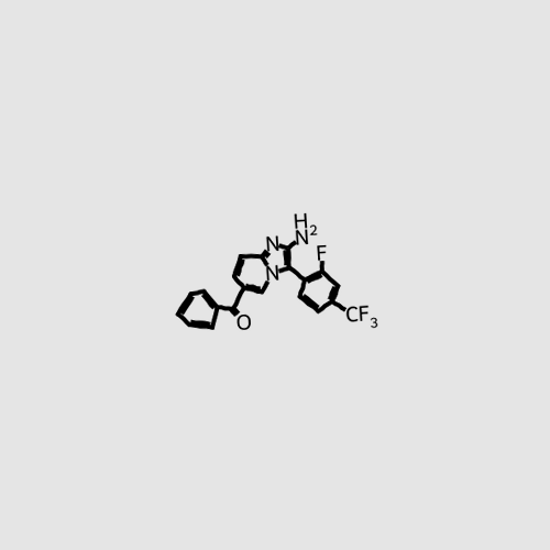 Nc1nc2ccc(C(=O)c3ccccc3)cn2c1-c1ccc(C(F)(F)F)cc1F